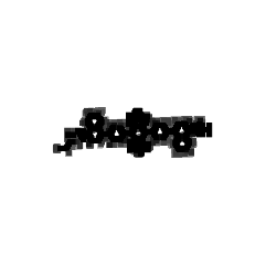 CCCCNc1ccc(-c2ccc(-c3c4c(c(-c5ccc(-c6ccc(NC)c7ccccc67)cc5)c5nsnc35)N=S=N4)cc2)c2ccccc12